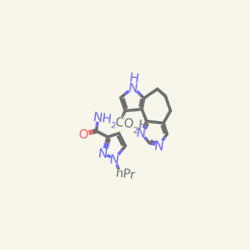 CCCn1ccc(C(N)=O)n1.O=C(O)c1c[nH]c2c1-c1ncncc1CCC2